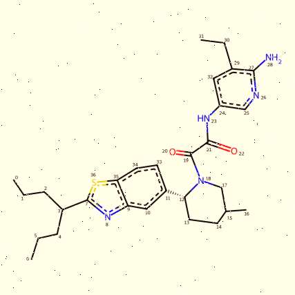 CCCC(CCC)c1nc2cc([C@H]3CCC(C)CN3C(=O)C(=O)Nc3cnc(N)c(CC)c3)ccc2s1